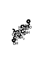 CCC(C)C(CC(=O)NC(CC1CNC=N1)C(=O)N1CCCC1C(=O)NC(Cc1ccccc1)C(=O)O)NC(=O)C(Cc1ccc(O)cc1)NC(=O)C(N)C(C)C